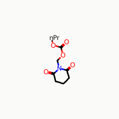 CCCOC(=O)OCN1C(=O)CCCC1=O